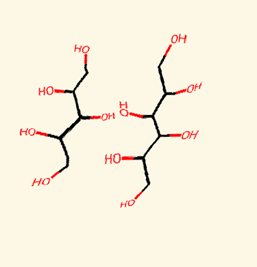 OCC(O)C(O)C(O)C(O)CO.OCC(O)C(O)C(O)CO